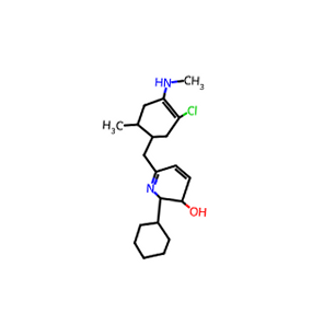 CNC1=C(Cl)CC(CC2=NC(C3CCCCC3)C(O)C=C2)C(C)C1